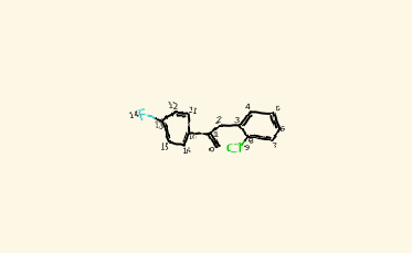 C=C(Cc1ccccc1Cl)c1ccc(F)cc1